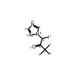 CC(C)(C)C(=O)C(I)n1cncn1